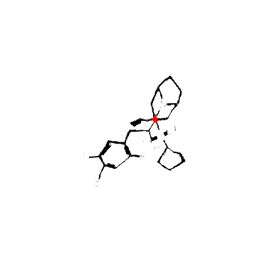 NC(Cc1cc(F)c(F)cc1F)C1CC2CCC(C1)N2C(C=O)S(=O)(=O)C1CCCC1